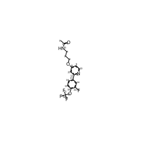 CC(=O)NCCCOc1ccnc(-c2ccc(OC(F)(F)F)c(F)c2)c1